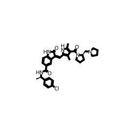 Cc1[nH]c(C=C2C(=O)Nc3ccc(C(=O)N[C@H](C)c4ccc(Cl)cc4)cc32)c(C)c1C(=O)N1CCC[C@@H]1CN1CCCC1